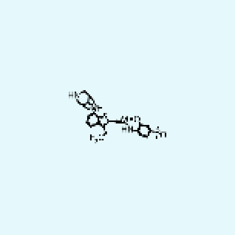 COc1cc(P(C)(C)=O)ccc1NCC#Cc1sc2c(NC3C4CNCC3COC4)cccc2c1CC(F)(F)F